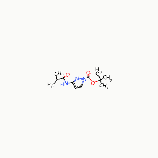 CC(C)C(=O)Nc1ccn(C(=O)OC(C)(C)C)n1